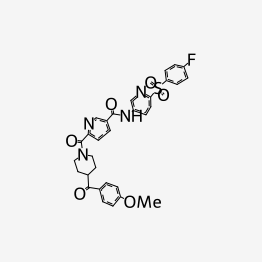 COc1ccc(C(=O)C2CCN(C(=O)c3ccc(C(=O)Nc4ccc(S(=O)(=O)c5ccc(F)cc5)nc4)cn3)CC2)cc1